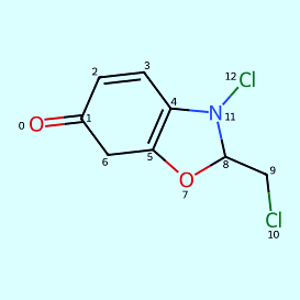 O=C1C=CC2=C(C1)OC(CCl)N2Cl